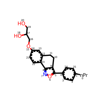 CCCc1ccc(-c2onc3c2CCc2cc(OCC(O)CO)ccc2-3)cc1